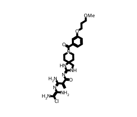 C=C(C(=O)/N=C1\NCC2(CCN(C(=O)c3cccc(OCCCOC)c3)CC2)N1)/C(N)=N\C(N)=C(/N)Cl